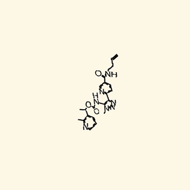 C=CCCNC(=O)c1ccc(-c2nnn(C)c2NC(=O)OC(C)c2cccnc2C)nc1